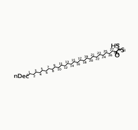 CCCCCCCCCCCCCCCCCCCCCCCCCCCCCCCCCCCCCC(=O)C(=S)S